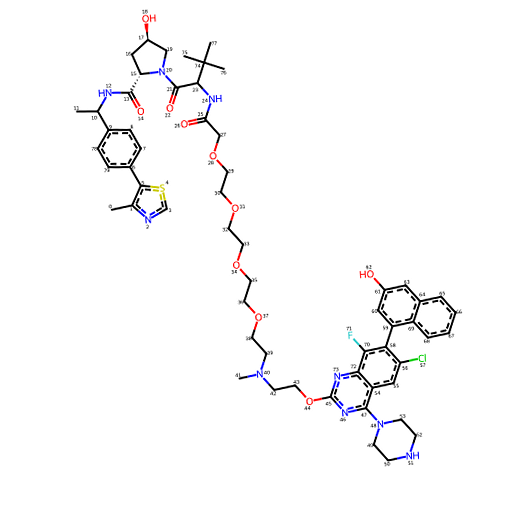 Cc1ncsc1-c1ccc(C(C)NC(=O)[C@@H]2C[C@@H](O)CN2C(=O)C(NC(=O)COCCOCCOCCOCCN(C)CCOc2nc(N3CCNCC3)c3cc(Cl)c(-c4cc(O)cc5ccccc45)c(F)c3n2)C(C)(C)C)cc1